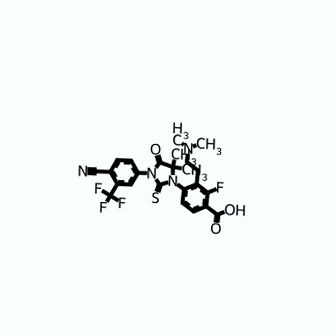 CN(C)CCc1c(N2C(=S)N(c3ccc(C#N)c(C(F)(F)F)c3)C(=O)C2(C)C)ccc(C(=O)O)c1F